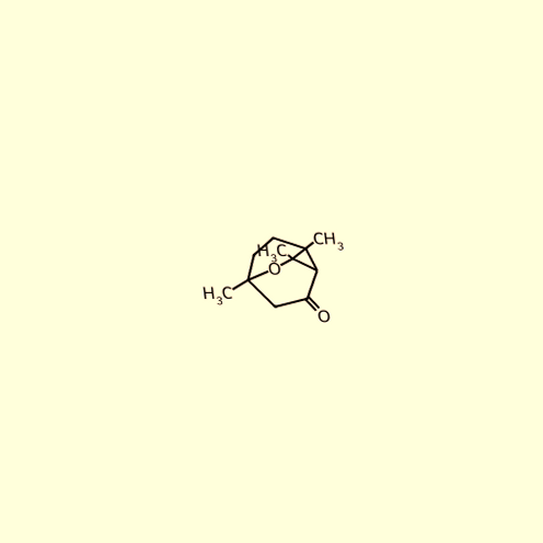 CC12CCCC(C(=O)C1)C(C)(C)O2